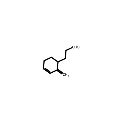 C=C1C=CCCC1CCC=O